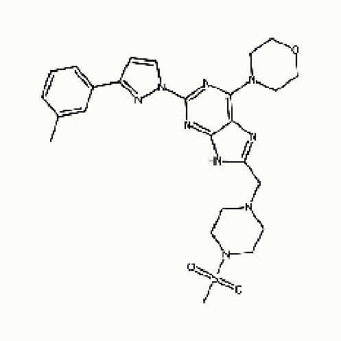 Cc1cccc(-c2ccn(-c3nc(N4CCOCC4)c4nc(CN5CCN(S(C)(=O)=O)CC5)[nH]c4n3)n2)c1